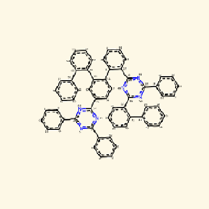 c1ccc(-c2nc(-c3ccccc3)nc(-c3ccc(-c4ccccc4-c4nc(-c5ccccc5)nc(-c5ccccc5-c5ccccc5)n4)c(-c4ccccc4-c4ccccc4)c3)n2)cc1